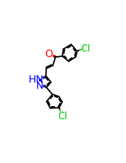 O=C(C=Cc1cc(-c2ccc(Cl)cc2)n[nH]1)c1ccc(Cl)cc1